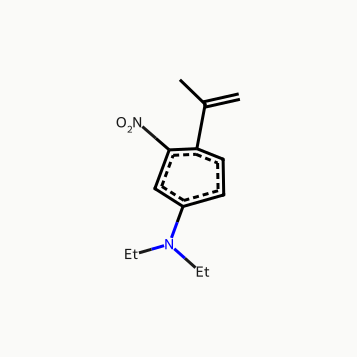 C=C(C)c1ccc(N(CC)CC)cc1[N+](=O)[O-]